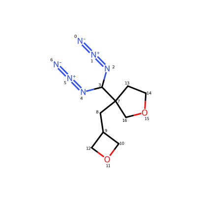 [N-]=[N+]=NC(N=[N+]=[N-])C1(CC2COC2)CCOC1